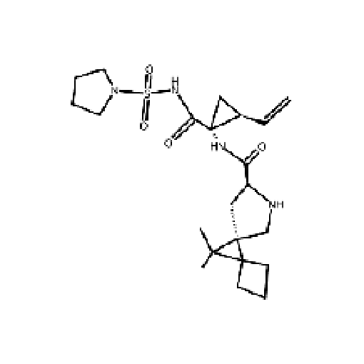 C=C[C@@H]1C[C@]1(NC(=O)[C@@H]1C[C@@]2(CN1)C(C)(C)C21CCC1)C(=O)NS(=O)(=O)N1CCCC1